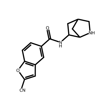 N#Cc1cc2cc(C(=O)NC3CC4CNC3C4)ccc2o1